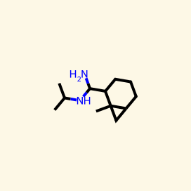 CC(C)NC(N)C1CCCC2CC21C